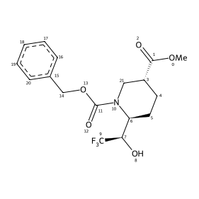 COC(=O)[C@@H]1CC[C@@H]([C@@H](O)C(F)(F)F)N(C(=O)OCc2ccccc2)C1